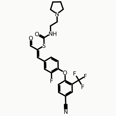 N#Cc1ccc(Oc2ccc(/C=C(/C=O)SC(=O)NCCN3CCCC3)cc2F)c(C(F)(F)F)c1